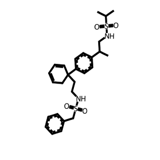 CC(CNS(=O)(=O)C(C)C)c1ccc(C2(CCNS(=O)(=O)Cc3ccccc3)C=CC=CC2)cc1